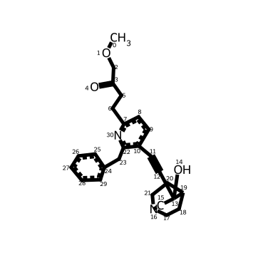 COCC(=O)CCc1ccc(C#CC2(O)CN3CCC2CC3)c(Cc2ccccc2)n1